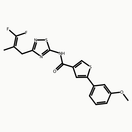 COc1cccc(-c2cc(C(=O)Nc3nc(CC(C)=C(F)F)ns3)cs2)c1